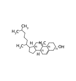 CC(C)CCCC(C)C1CCC2[C@@H]1CCC1[C@H]2CC=C2C[C@@H](O)CC[C@@]21C